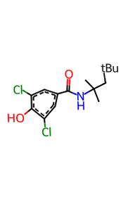 CC(C)(C)CC(C)(C)NC(=O)c1cc(Cl)c(O)c(Cl)c1